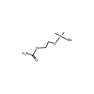 CC(C)(C)[Si](C)(C)OCCOC(N)=O